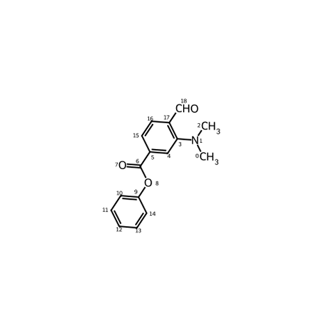 CN(C)c1cc(C(=O)Oc2ccccc2)ccc1C=O